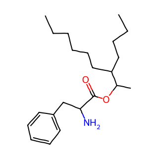 CCCCCCC(CCCC)C(C)OC(=O)C(N)Cc1ccccc1